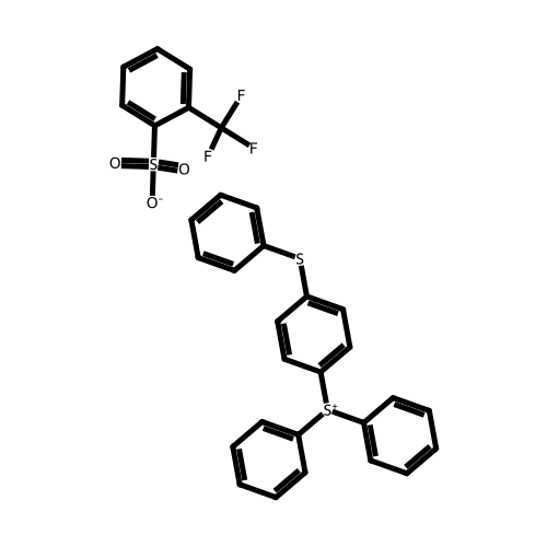 O=S(=O)([O-])c1ccccc1C(F)(F)F.c1ccc(Sc2ccc([S+](c3ccccc3)c3ccccc3)cc2)cc1